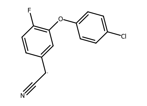 N#C[CH]c1ccc(F)c(Oc2ccc(Cl)cc2)c1